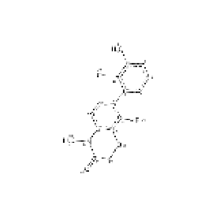 Cc1cccc(-c2ccc3c(c2F)OCC(=O)N3C)c1Cl